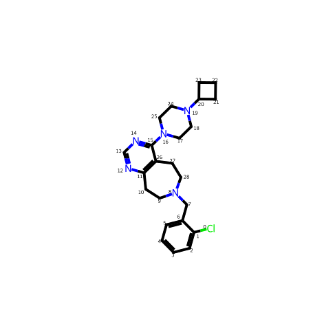 Clc1ccccc1CN1CCc2ncnc(N3CCN(C4CCC4)CC3)c2CC1